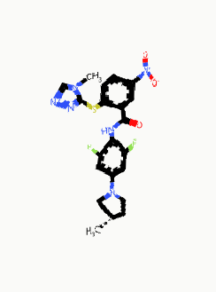 C[C@H]1CCN(c2cc(F)c(NC(=O)c3cc([N+](=O)[O-])ccc3Sc3nncn3C)c(F)c2)C1